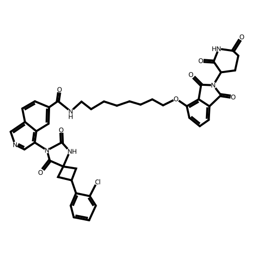 O=C1CCC(N2C(=O)c3cccc(OCCCCCCCCNC(=O)c4ccc5cncc(N6C(=O)NC7(CC(c8ccccc8Cl)C7)C6=O)c5c4)c3C2=O)C(=O)N1